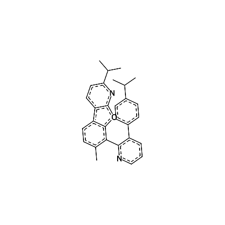 Cc1ccc2c(oc3nc(C(C)C)ccc32)c1-c1ncccc1-c1ccc(C(C)C)cc1